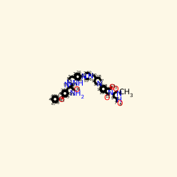 CNC(=O)C(CCC=O)N1C(=O)c2ccc(N3CCC(CN4CCN(c5ccc6c(c5)Nc5c(C(N)=O)c(-c7ccc(Oc8ccccc8)cc7)nn5CC6)CC4)CC3)cc2C1=O